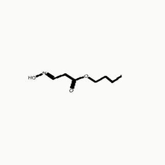 CCCCOC(=O)CC=NO